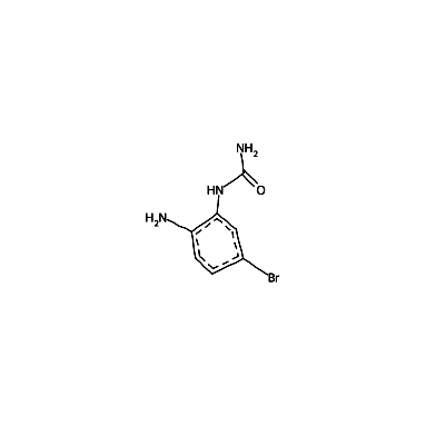 NC(=O)Nc1cc(Br)ccc1N